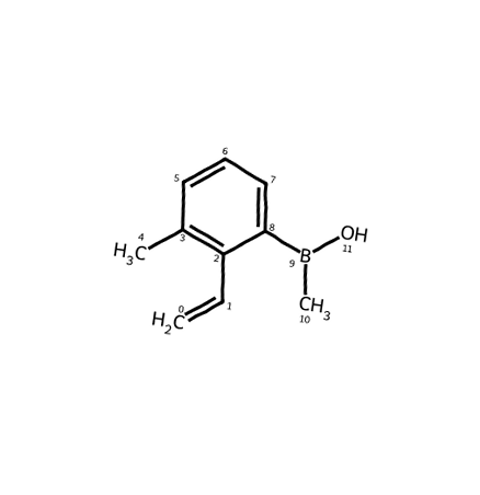 C=Cc1c(C)cccc1B(C)O